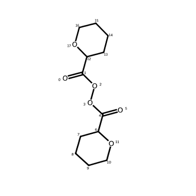 O=C(OOC(=O)C1CCCCO1)C1CCCCO1